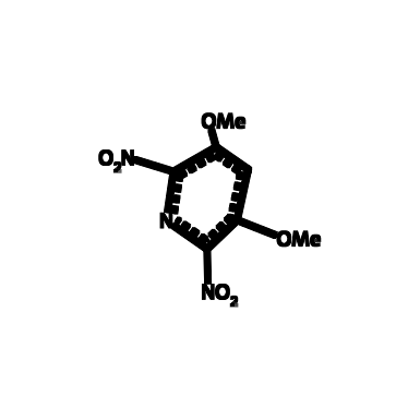 COc1cc(OC)c([N+](=O)[O-])nc1[N+](=O)[O-]